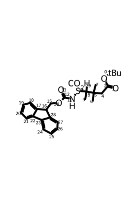 CC(C)(C)OC(=O)CC(C)(C)C(C)(SNC(=O)OCC1c2ccccc2-c2ccccc21)C(=O)O